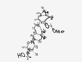 COCOc1c(-c2ccc3cc(N4C[C@@H](C)N(C(=O)O)[C@@H](C)C4)cnc3n2)cc2cn(C)nc2c1F